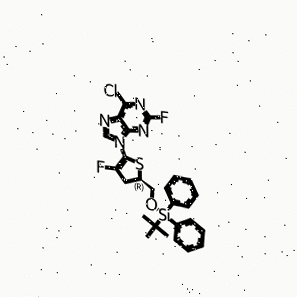 CC(C)(C)[Si](OC[C@H]1CC(F)=C(n2cnc3c(Cl)nc(F)nc32)S1)(c1ccccc1)c1ccccc1